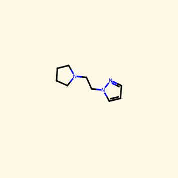 [c]1cnn(CCN2CCCC2)c1